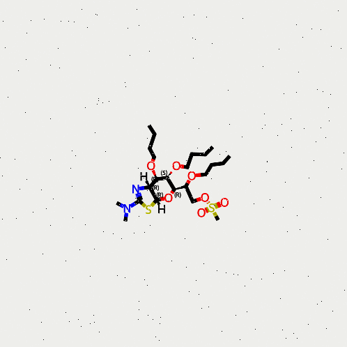 CCCCOC(COS(C)(=O)=O)[C@H]1O[C@@H]2SC(N(C)C)=N[C@@H]2[C@@H](OCCCC)[C@@H]1OCCCC